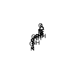 COC1/C=C\C/C=C2\C(C=CN2c2nc(Nc3cccc(NC(=O)c4cccc(NC(=O)/C=C/CN(C)C)c4)c3)ncc2F)C1